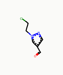 O=Cc1cnn(CCCl)c1